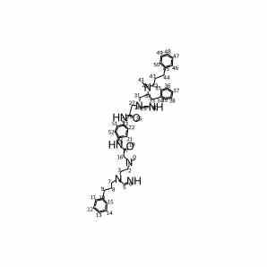 CN(CCN(C=N)CCCc1ccccc1)CC(=O)Nc1ccc(NC(=O)CN(C=N)CC(Cc2ccccc2)N(C)CCCc2ccccc2)cc1